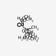 C=CCC(NC(=O)OC(C)(C)C)C(=O)N(CCc1cn(C(=O)OC(C)(C)C)c2ccccc12)[C@H](C)CC=C